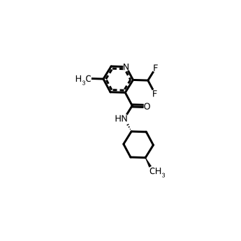 Cc1cnc(C(F)F)c(C(=O)N[C@H]2CC[C@H](C)CC2)c1